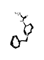 NC(=O)NC1CCCN(Cc2ccccc2)C1